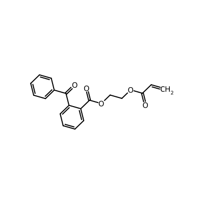 C=CC(=O)OCCOC(=O)c1ccccc1C(=O)c1ccccc1